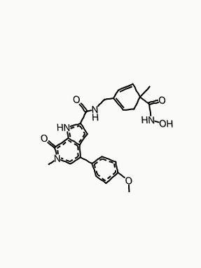 COc1ccc(-c2cn(C)c(=O)c3[nH]c(C(=O)NCC4=CCC(C)(C(=O)NO)C=C4)cc23)cc1